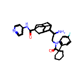 NC(CNC(=O)C1(c2ccc(F)cc2)CCCCC1)C1C2CC3CC1CC(C(=O)Nc1ccncc1)(C3)C2